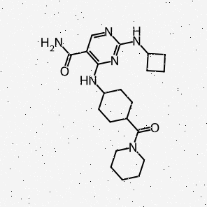 NC(=O)c1cnc(NC2CCC2)nc1NC1CCC(C(=O)N2CCCCC2)CC1